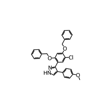 COc1ccc(-c2c[nH]nc2-c2cc(Cl)c(OCc3ccccc3)cc2OCc2ccccc2)cc1